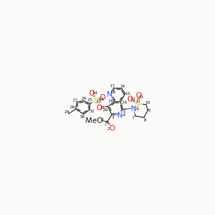 COC(=O)c1nc(N2CCCCS2(=O)=O)c2cccnc2c1OS(=O)(=O)c1ccc(C)cc1